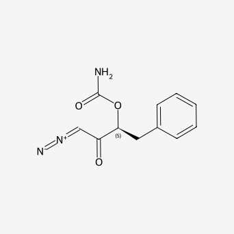 [N-]=[N+]=CC(=O)[C@H](Cc1ccccc1)OC(N)=O